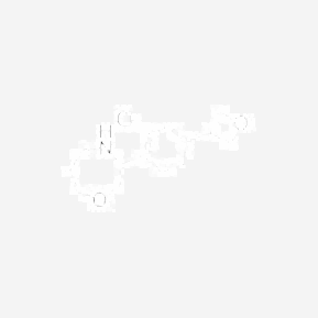 Clc1cc(C2COC2)ccc1C1COCCCN1